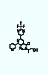 CC(CO)n1cnc2c(-c3cccnc3)nc(-c3cnc(C(F)(F)F)nc3)cc2c1=O